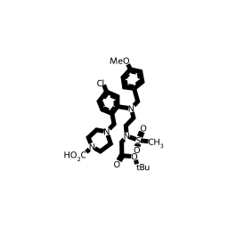 COc1ccc(CN(CCN(CC(=O)OC(C)(C)C)S(C)(=O)=O)c2cc(Cl)ccc2CN2CCN(C(=O)O)CC2)cc1